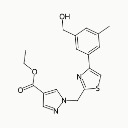 CCOC(=O)c1cnn(Cc2nc(-c3cc(C)cc(CO)c3)cs2)c1